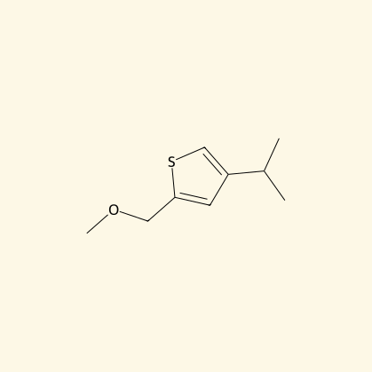 COCc1cc(C(C)C)cs1